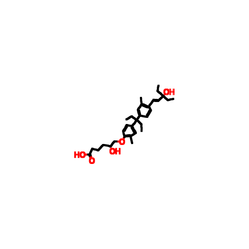 CCC(O)(C=Cc1ccc(C(CC)(CC)c2ccc(OC[C@H](O)CCCC(=O)O)c(C)c2)cc1C)CC